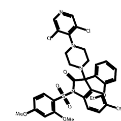 CCOc1ccccc1C1(N2CCN(c3c(Cl)cncc3Cl)CC2)C(=O)N(S(=O)(=O)c2ccc(OC)cc2OC)c2ccc(C#N)cc21